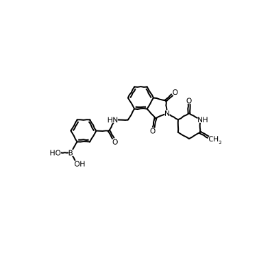 C=C1CCC(N2C(=O)c3cccc(CNC(=O)c4cccc(B(O)O)c4)c3C2=O)C(=O)N1